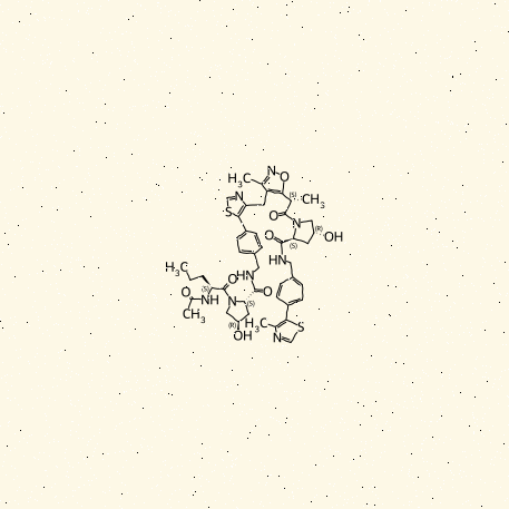 CCC[C@H](NC(C)=O)C(=O)N1C[C@H](O)C[C@H]1C(=O)NCc1ccc(-c2scnc2Cc2c(C)noc2[C@H](C)C(=O)N2C[C@H](O)C[C@H]2C(=O)NCc2ccc(-c3scnc3C)cc2)cc1